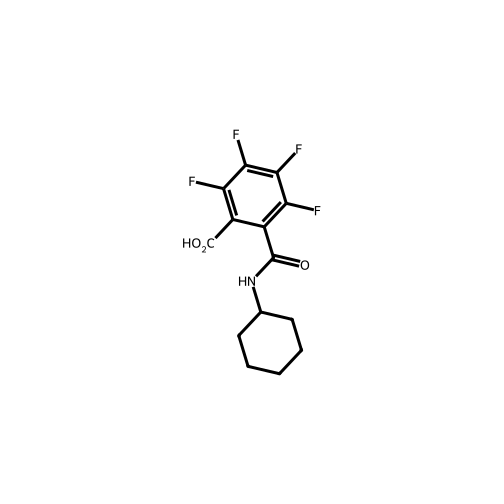 O=C(O)c1c(F)c(F)c(F)c(F)c1C(=O)NC1CCCCC1